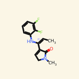 C/C=C(/Nc1cccc(F)c1F)C1=CCN(C)C1=O